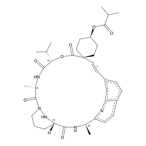 CC(C)C(=O)O[C@H]1CC[C@]2(/C=C/c3ccc4ccc(nc4c3)[C@@H](C)NC(=O)[C@@H]3CCCN(N3)C(=O)[C@H](C)NC(=O)[C@H](C(C)C)OC2=O)CC1